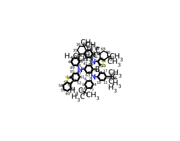 CC(C)(C)c1ccc(N2c3ccc(C(C)(C)C)cc3B3c4sc5c(c4N(c4ccc6c(c4)C(C)(C)CCC6(C)C)c4cc(N(c6ccccc6)c6ccc7c(c6)sc6ccccc67)cc2c43)C(C)(C)CCC5(C)C)cc1